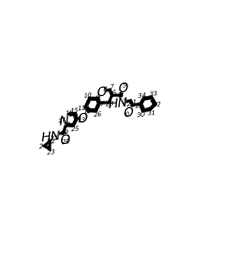 O=C(CNC(=O)C1COc2ccc(Oc3ccnc(C(=O)NC4CC4)c3)cc2C1)c1ccccc1